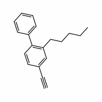 C#Cc1ccc(-c2ccccc2)c(CCCCC)c1